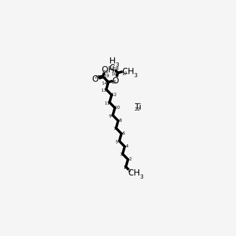 CCCCCCCCCCCCCCC(OC(C)C)C(=O)O.[Ti]